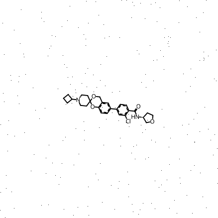 O=C(N[C@H]1CCOC1)c1ccc(-c2ccc3c(c2)COC2(CCN(C4CCC4)CC2)O3)cc1Cl